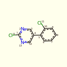 Clc1ncc(-c2ccccc2Cl)cn1